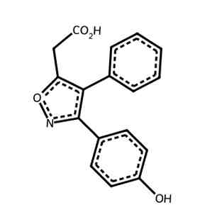 O=C(O)Cc1onc(-c2ccc(O)cc2)c1-c1ccccc1